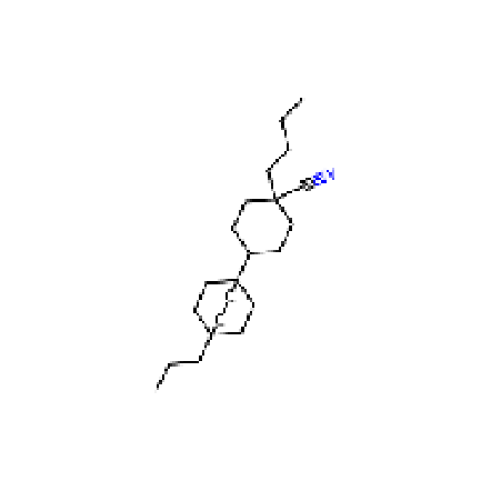 CCCCC1(C#N)CCC(C23CCC(CCC)(CC2)CC3)CC1